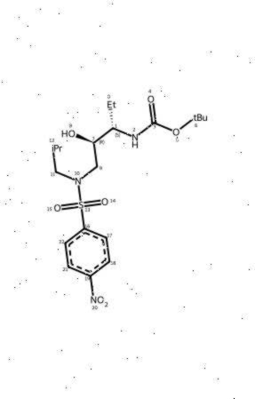 CC[C@H](NC(=O)OC(C)(C)C)[C@H](O)CN(CC(C)C)S(=O)(=O)c1ccc([N+](=O)[O-])cc1